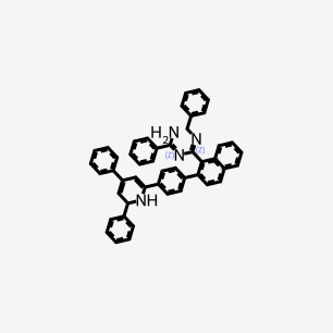 N/C(=N\C(=N/Cc1ccccc1)c1c(-c2ccc(C3=CC(c4ccccc4)=CC(c4ccccc4)N3)cc2)ccc2ccccc12)c1ccccc1